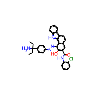 CCC(N)(CC)c1ccc(N=Nc2c(O)c(C(=O)Nc3ccccc3Cl)cc3ccc4c5ccccc5[nH]c4c23)cc1